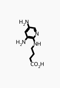 Nc1cnc(NCCCC(=O)O)c(N)c1